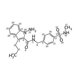 CCCc1c(C(=O)NCc2ccc(S(=O)(=O)NC)cc2)n(N)c2ccccc12